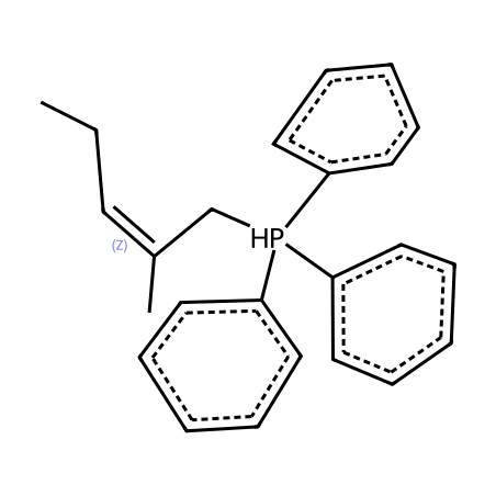 CC/C=C(/C)C[PH](c1ccccc1)(c1ccccc1)c1ccccc1